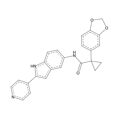 O=C(Nc1ccc2[nH]c(-c3ccncc3)cc2c1)C1(c2ccc3c(c2)OCO3)CC1